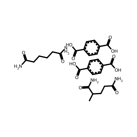 CC(CCC(N)=O)C(N)=O.NC(=O)CCCCC(N)=O.O=C(O)c1ccc(C(=O)O)cc1.O=C(O)c1ccc(C(=O)O)cc1